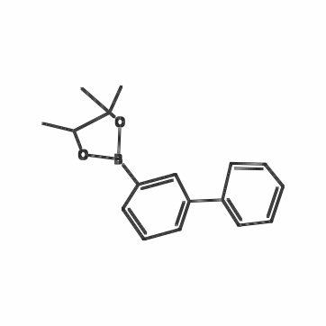 CC1OB(c2cccc(-c3ccccc3)c2)OC1(C)C